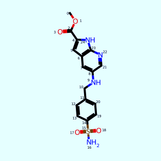 COC(=O)c1cc2cc(NCc3ccc(S(N)(=O)=O)cc3)cnc2[nH]1